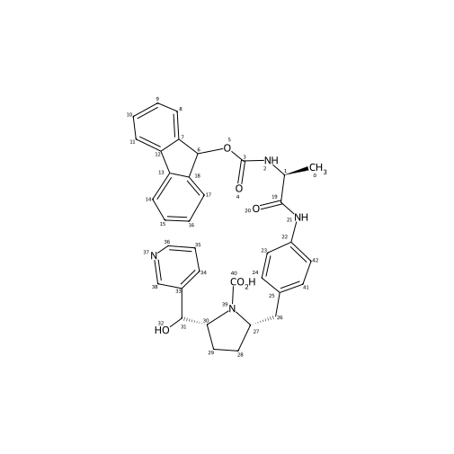 C[C@H](NC(=O)OC1c2ccccc2-c2ccccc21)C(=O)Nc1ccc(C[C@@H]2CC[C@H](C(O)c3cccnc3)N2C(=O)O)cc1